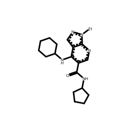 CCn1ncc2c(NC3CCCCC3)c(C(=O)NC3CCCC3)cnc21